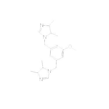 COc1cc(CN2C=NC(C)C2C)cc(CN2C=NC(C)C2C)c1